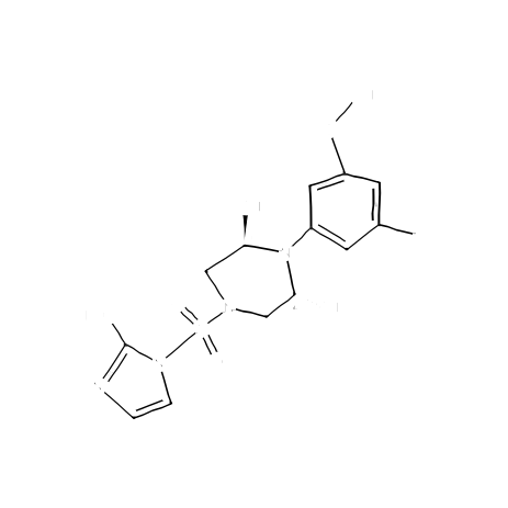 COc1cc(F)cc(N2[C@H](C)CN(S(=O)(=O)n3ccnc3C)C[C@H]2C)c1